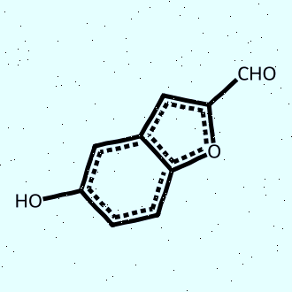 O=Cc1cc2cc(O)ccc2o1